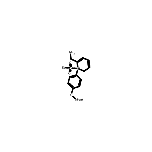 CCCCCOc1ccc([N+]2(S(=O)(=O)CC)CC=CC=C2CN)cc1